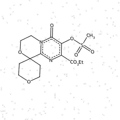 CCOC(=O)c1nc2n(c(=O)c1OS(C)(=O)=O)CCOC21CCOCC1